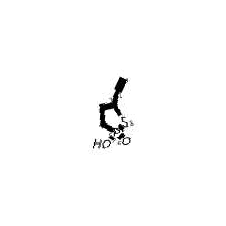 C#CC1CCP(=O)(O)S1